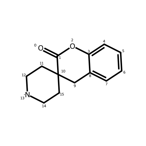 O=C1Oc2ccccc2CC12CC[N]CC2